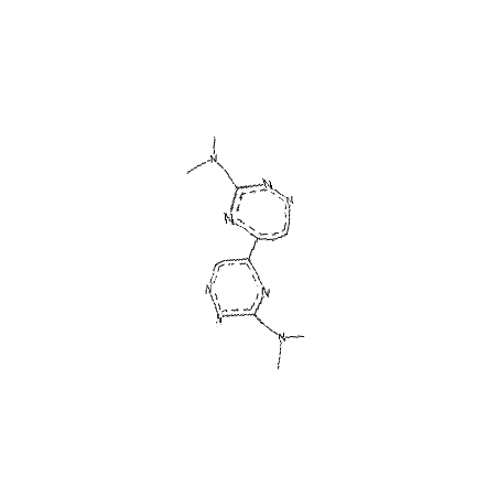 CN(C)c1nncc(-c2cnnc(N(C)C)n2)n1